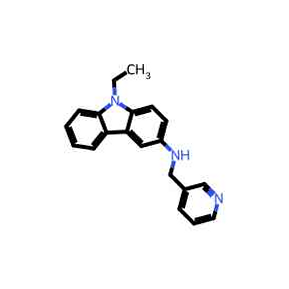 CCn1c2ccccc2c2cc(NCc3cccnc3)ccc21